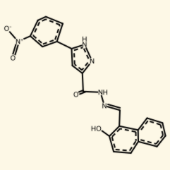 O=C(N/N=C/c1c(O)ccc2ccccc12)c1cc(-c2cccc([N+](=O)[O-])c2)[nH]n1